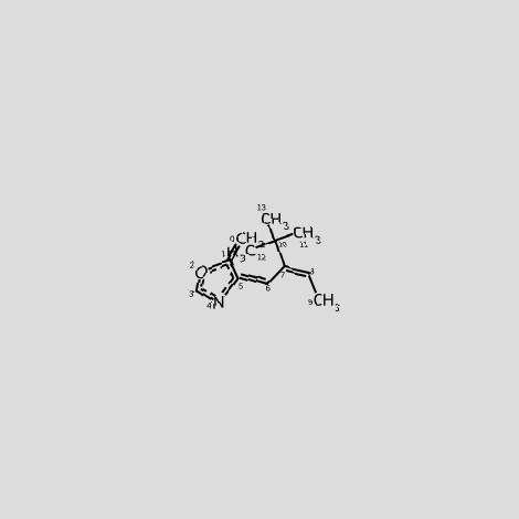 C=c1ocn/c1=C/C(=C\C)C(C)(C)C